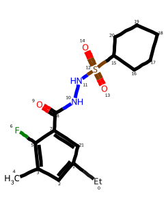 CCc1cc(C)c(F)c(C(=O)NNS(=O)(=O)C2CCCCC2)c1